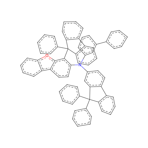 c1ccc(-c2cccc(N(c3ccc4c(c3)C(c3ccccc3)(c3ccccc3)c3ccccc3-4)c3ccc4c(oc5ccccc54)c3C3(c4ccccc4)c4ccccc4-c4ccccc43)c2)cc1